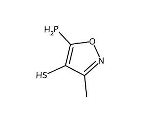 Cc1noc(P)c1S